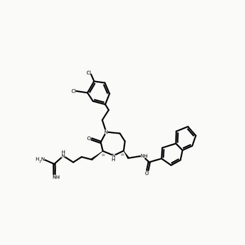 N=C(N)NCCC[C@@H]1N[C@H](CNC(=O)c2ccc3ccccc3c2)CCN(CCc2ccc(Cl)c(Cl)c2)C1=O